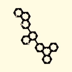 c1cnc2c(c1)ccc1cc(-c3ccc(-c4ccc5c6ccccc6c6ccccc6c5c4)c4ncccc34)cnc12